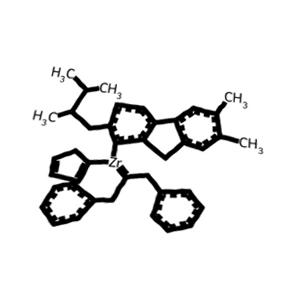 Cc1cc2c(cc1C)-c1ccc(CC(C)C(C)C)[c]([Zr]([C]3=CC=CC3)=[C](Cc3ccccc3)Cc3ccccc3)c1C2